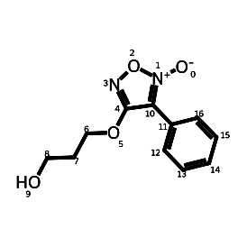 [O-][n+]1onc(OCCCO)c1-c1ccccc1